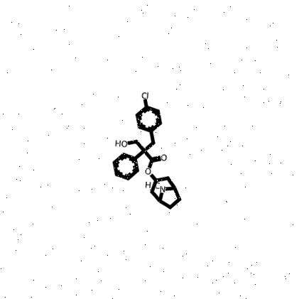 CN1C2CCC1CC(OC(=O)C(CO)(Cc1ccc(Cl)cc1)c1ccccc1)C2